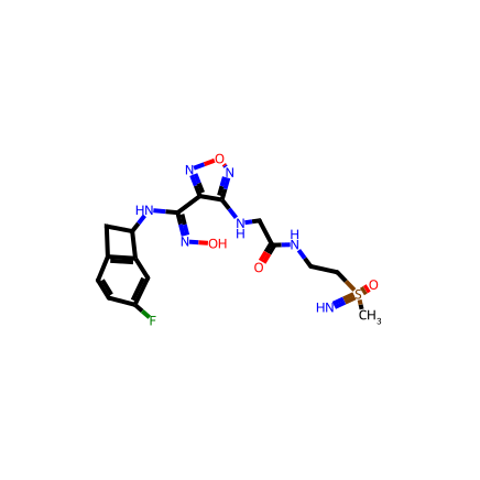 CS(=N)(=O)CCNC(=O)CNc1nonc1C(=NO)NC1Cc2ccc(F)cc21